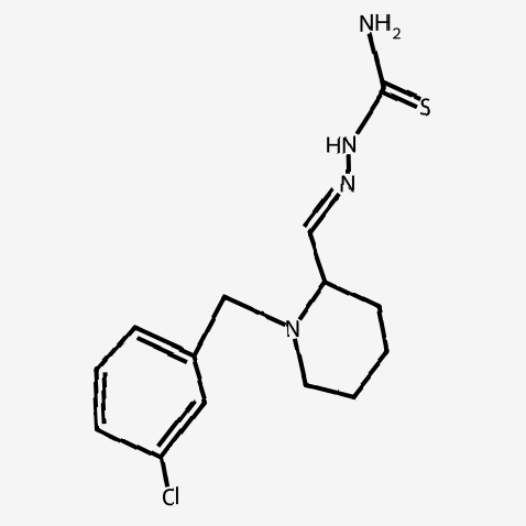 NC(=S)N/N=C/C1CCCCN1Cc1cccc(Cl)c1